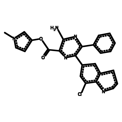 Cn1ccc(OC(=O)c2nc(-c3cc(Cl)c4ncccc4c3)c(-c3ccccc3)nc2N)c1